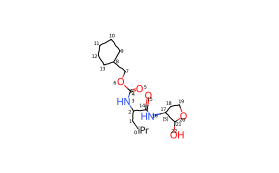 CC(C)CC(NC(=O)OCC1CCCCC1)C(=O)N[C@H]1CCOC1O